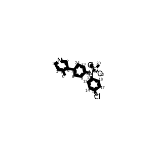 Cc1ccncc1-c1ccc(N(c2ccc(Cl)cc2)S(C)(=O)=O)cc1